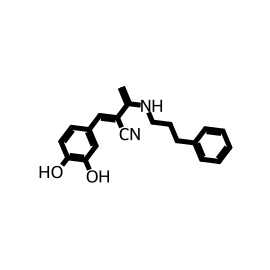 C=C(NCCCc1ccccc1)/C(C#N)=C/c1ccc(O)c(O)c1